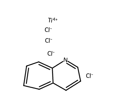 [Cl-].[Cl-].[Cl-].[Cl-].[Ti+4].c1ccc2ncccc2c1